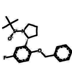 CC(C)(C)[S@+]([O-])N1CCC[C@@H]1c1cc(F)ccc1OCc1ccccc1